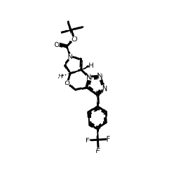 CC(C)(C)OC(=O)N1C[C@@H]2OCc3c(-c4ccc(C(F)(F)F)cc4)nnn3[C@H]2C1